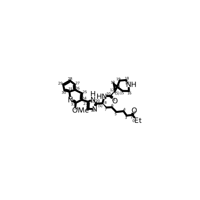 CCC(=O)CCCCC[C@H](NC(=O)[C@H]1CC12CCNCC2)c1ncc(-c2cc3ccccc3nc2OC)[nH]1